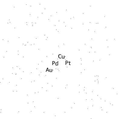 [Au].[Cu].[Pd].[Pt]